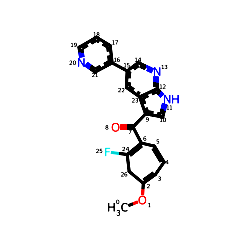 COC1=CC=CC(C(=O)c2c[nH]c3ncc(-c4cccnc4)cc23)=C(F)C1